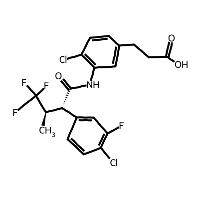 C[C@H]([C@H](C(=O)Nc1cc(CCC(=O)O)ccc1Cl)c1ccc(Cl)c(F)c1)C(F)(F)F